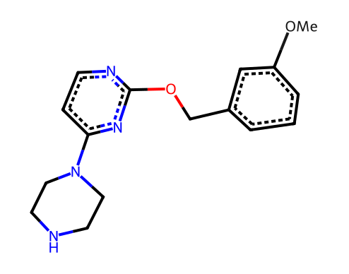 COc1cccc(COc2nccc(N3CCNCC3)n2)c1